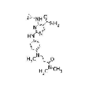 CN(C)C(=O)CCN(C)c1ccc(Nc2ncc(C(N)=O)c(NC3CC3)n2)cc1